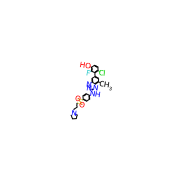 Cc1cc(-c2c(Cl)ccc(O)c2F)cc2nnc(Nc3ccc(S(=O)(=O)CCCN4CCCC4)cc3)nc12